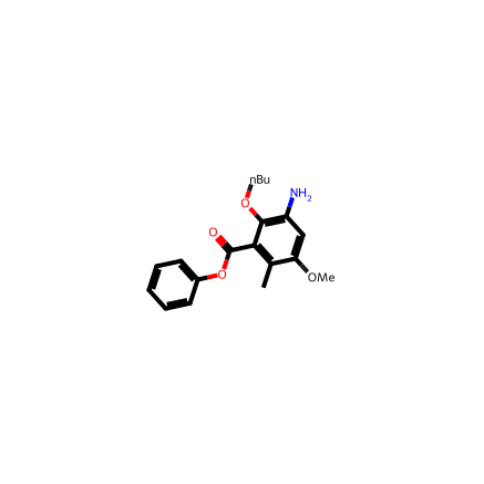 CCCCOc1c(N)cc(OC)c(C)c1C(=O)Oc1ccccc1